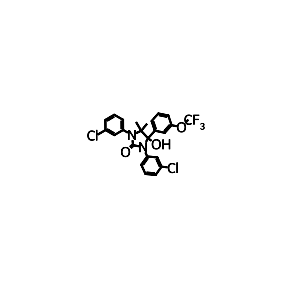 CC1(C)N(c2cccc(Cl)c2)C(=O)N(c2cccc(Cl)c2)C1(O)c1cccc(OC(F)(F)F)c1